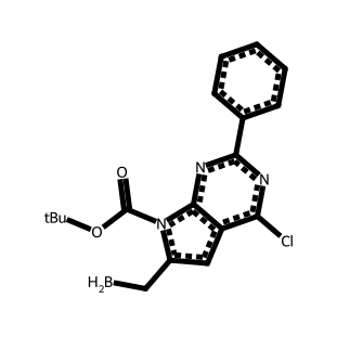 BCc1cc2c(Cl)nc(-c3ccccc3)nc2n1C(=O)OC(C)(C)C